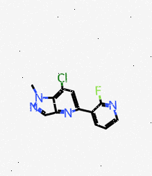 Cn1ncc2nc(-c3cccnc3F)cc(Cl)c21